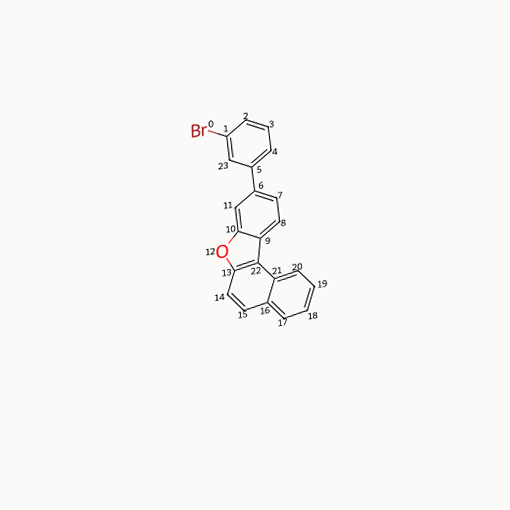 Brc1cccc(-c2ccc3c(c2)oc2ccc4ccccc4c23)c1